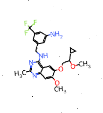 COc1cc2nc(C)nc(NCc3cc(N)cc(C(F)(F)F)c3)c2cc1OCC(OC)C1CC1